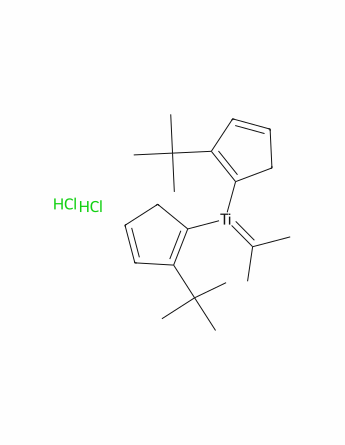 C[C](C)=[Ti]([C]1=C(C(C)(C)C)C=CC1)[C]1=C(C(C)(C)C)C=CC1.Cl.Cl